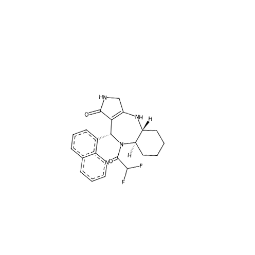 O=C1NCC2=C1[C@@H](c1cccc3cccnc13)N(C(=O)C(F)F)[C@@H]1CCCC[C@H]1N2